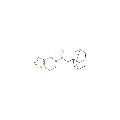 O=C(CC12CC3CC(CC(C3)C1)C2)N1CCc2sccc2C1